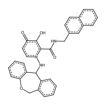 O=C(NCc1ccc2ccccc2c1)c1c(O)c(=O)ccn1NC1c2ccccc2COc2ccccc21